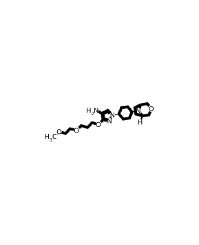 COCCOCCCOc1nn([C@H]2CC[C@H](N3C4CC[C@H]3COC4)CC2)cc1N